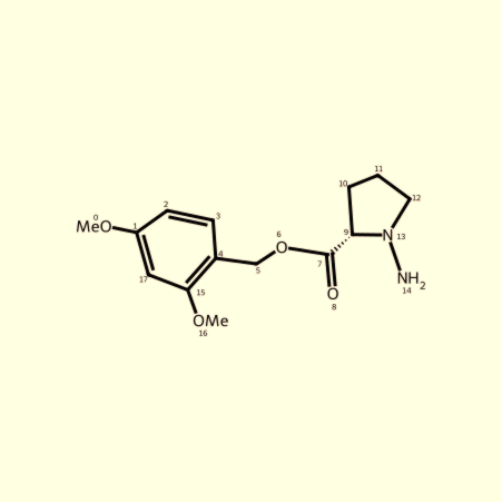 COc1ccc(COC(=O)[C@@H]2CCCN2N)c(OC)c1